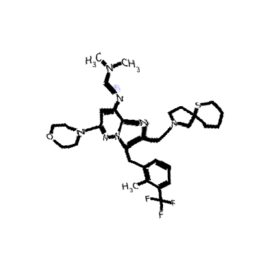 Cc1c(Cc2c(CN3CCC4(CCCCS4)C3)nc3c(/N=C/N(C)C)cc(N4CCOCC4)nn23)cccc1C(F)(F)F